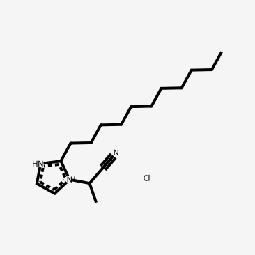 CCCCCCCCCCCc1[nH]cc[n+]1C(C)C#N.[Cl-]